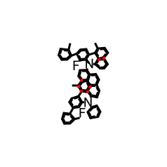 Cc1ccccc1-c1ccc(-c2ccccc2C)c(N(c2ccccc2)c2ccc3ccc4c(N(c5ccccc5)c5c(-c6ccccc6C)ccc(-c6ccccc6C)c5F)ccc5ccc2c3c54)c1F